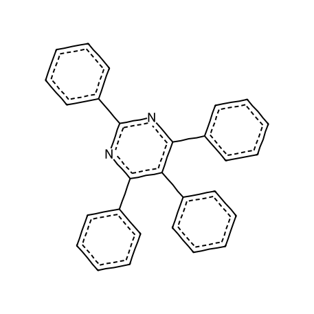 c1ccc(-c2nc(-c3ccccc3)c(-c3ccccc3)c(-c3ccccc3)n2)cc1